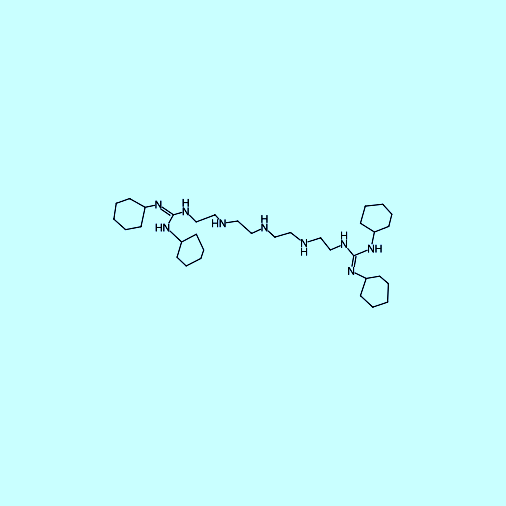 C1CCC(N=C(NCCNCCNCCNCCNC(=NC2CCCCC2)NC2CCCCC2)NC2CCCCC2)CC1